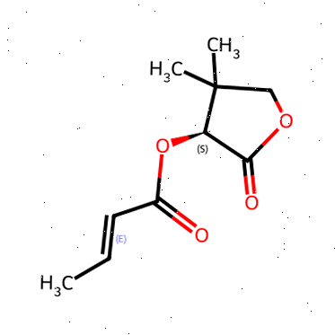 C/C=C/C(=O)O[C@@H]1C(=O)OCC1(C)C